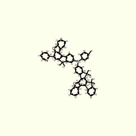 Cc1ccc(N(c2ccc3c(c2)C(C)(C)c2cc(-c4ccccn4)c4oc5ccccc5c4c2-3)c2ccc3c(c2)C(C)(C)c2c4c(c5c(oc6ccccc65)c2-3)-c2ccccc2C4(C)C)cc1